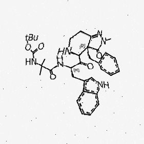 CN1N=C2CCNC(C(=O)[C@@H](Cc3c[nH]c4ccccc34)NC(=O)C(C)(C)NC(=O)OC(C)(C)C)[C@@]2(Cc2ccccc2)C1=O